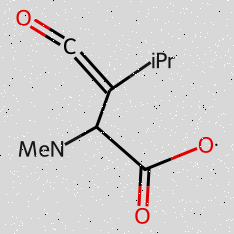 CNC(C([O])=O)C(=C=O)C(C)C